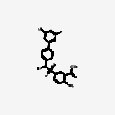 CCN(c1ccc(-c2cc(Cl)cc(Cl)c2)cc1)S(=O)(=O)c1ccc(C)c(C(=O)OC)c1